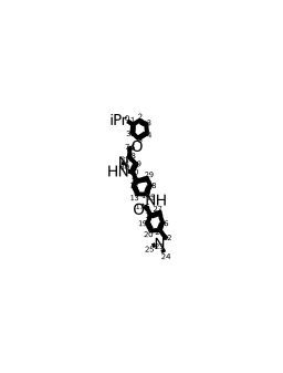 CC(C)c1cccc(OCc2cc(-c3ccc(NC(=O)c4ccc(CN(C)C)cc4)cc3)[nH]n2)c1